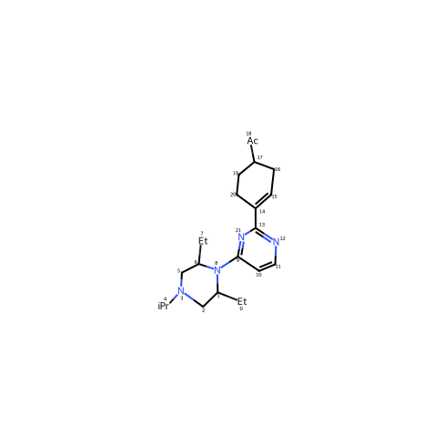 CCC1CN(C(C)C)CC(CC)N1c1ccnc(C2=CCC(C(C)=O)CC2)n1